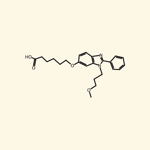 COCCCn1c(-c2ccccc2)nc2ccc(OCCCCCC(=O)O)cc21